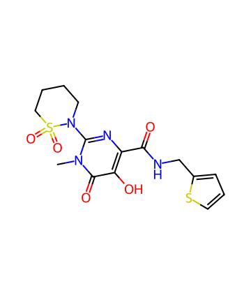 Cn1c(N2CCCCS2(=O)=O)nc(C(=O)NCc2cccs2)c(O)c1=O